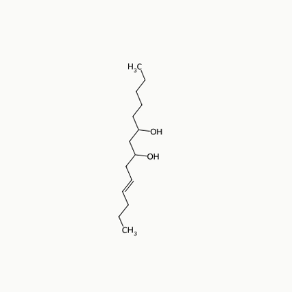 CCCC=CCC(O)CC(O)CCCCC